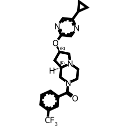 O=C(c1cccc(C(F)(F)F)c1)N1CCN2C[C@H](Oc3cnc(C4CC4)cn3)C[C@@H]2C1